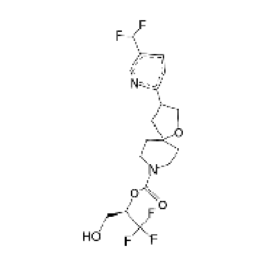 O=C(O[C@H](CO)C(F)(F)F)N1CCC2(CC1)CC(c1ccc(C(F)F)cn1)CO2